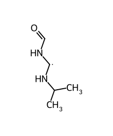 CC(C)N[CH]NC=O